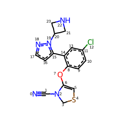 N#CN1CSC=C1Oc1ccc(Cl)cc1-c1ccnn1C1CNC1